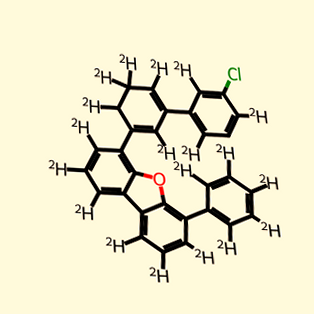 [2H]C1=C(c2c([2H])c([2H])c([2H])c3c2oc2c(-c4c([2H])c([2H])c([2H])c([2H])c4[2H])c([2H])c([2H])c([2H])c23)C([2H])C([2H])([2H])C([2H])=C1c1c([2H])cc([2H])c(Cl)c1[2H]